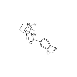 C[C@H]1[C@H](NC(=O)c2ccc3ncoc3c2)C2CCN1CC2